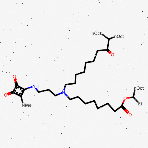 CCCCCCCCC(CC)OC(=O)CCCCCCCN(CCCCCCCC(=O)C(CCCCCCCC)CCCCCCCC)CCCNc1c(NC)c(=O)c1=O